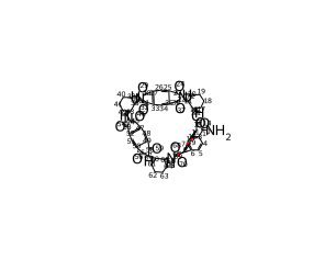 NC(=O)c1ccc2c3c4ccc(c13)C(=O)C[C@@H]1CCCC[C@H]1n1c(=O)c3cc5c(=O)n(c(=O)c5cc3c1=O)[C@@H]1CCCC[C@H]1N1C(=O)c3cc5c(cc3C1=O)C(=O)C(C5=O)[C@@H]1CCCC[C@H]1N(C2=O)C4=O